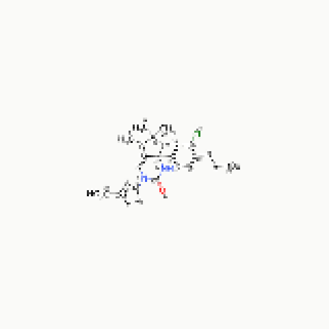 CC1C2=CN(C34CC(C3)C(C(=O)O)C4)C(=O)NC2(c2ccc(CCC(C)(C)C)c(Cl)c2)CC1(C)C